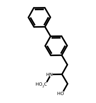 O=C(O)NC(CO)Cc1ccc(-c2ccccc2)cc1